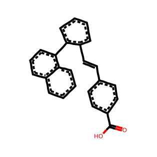 O=C(O)c1ccc(C=Cc2ccccc2-c2cccc3ccccc23)cc1